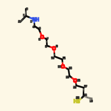 CC(C)NCCOCCOCCOCCOCC[C@H](C)S